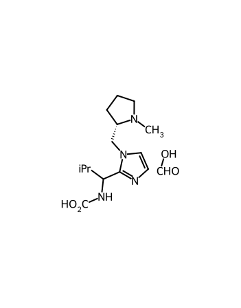 CC(C)C(NC(=O)O)c1nccn1C[C@@H]1CCCN1C.O=CO